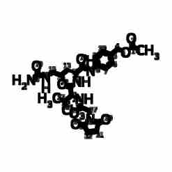 CC(=O)OCc1ccc(NC(=O)[C@H](CCCNC(N)=O)NC(=O)[C@@H](NC(=O)CN2C(=O)C=CC2=O)C(C)C)cc1